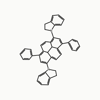 C1=CC2=C(N3CCc4ccccc43)C=C(c3ccccc3)C3=CC=C4C(N5CCc6ccccc65)=CC(c5ccccc5)=C1C4C32